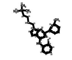 Cc1cccc(-c2nc(Nc3ccncc3F)c3ccn(COCC[Si](C)(C)C)c3n2)n1